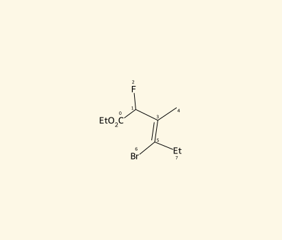 CCOC(=O)C(F)C(C)=C(Br)CC